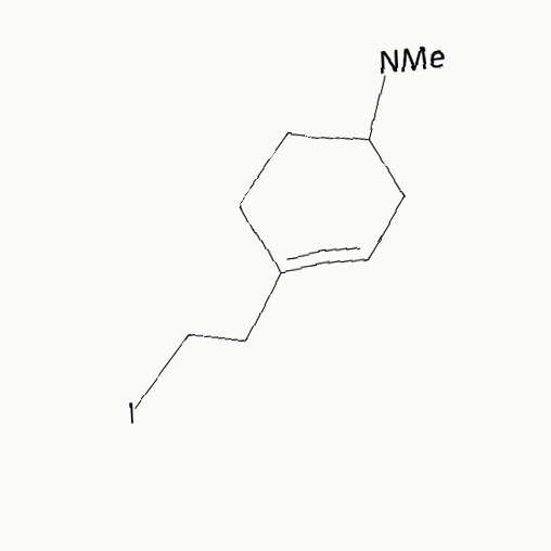 CNC1CC=C(CCI)CC1